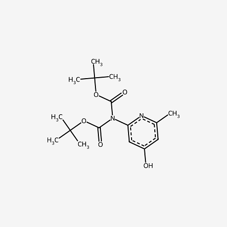 Cc1cc(O)cc(N(C(=O)OC(C)(C)C)C(=O)OC(C)(C)C)n1